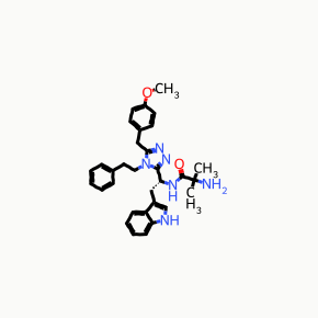 COc1ccc(Cc2nnc([C@@H](Cc3c[nH]c4ccccc34)NC(=O)C(C)(C)N)n2CCc2ccccc2)cc1